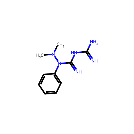 CN(C)N(C(=N)NC(=N)N)c1ccccc1